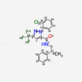 CC(CNC(=O)c1cc(C(F)(F)F)nn1-c1ccccc1Cl)c1ccccc1